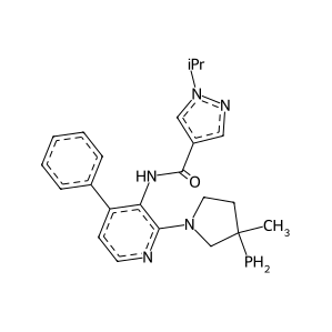 CC(C)n1cc(C(=O)Nc2c(-c3ccccc3)ccnc2N2CCC(C)(P)C2)cn1